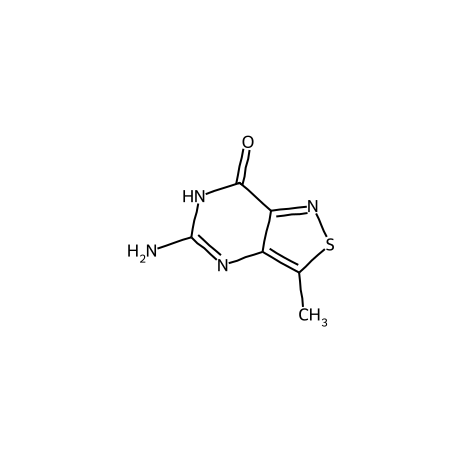 Cc1snc2c(=O)[nH]c(N)nc12